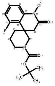 CC(C)(C)OC(=O)N1CCCC2(CC(=O)N(Cl)c3cccc(F)c32)C1